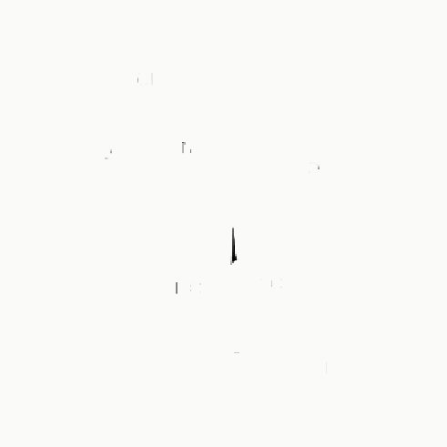 O=C(O)[C@H]1CN(C(=O)O)CC[C@@]12OCc1cc(F)c(F)cc12